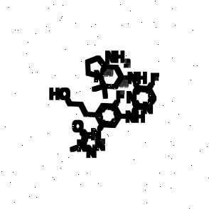 Cn1nnn(-c2cc(Nc3ncc(F)c(N[C@H]4CC(C)(C)N5CCC[C@@]5(N)C4)n3)c(F)cc2CCCO)c1=O